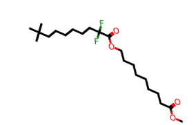 COC(=O)CCCCCCCCOC(=O)C(F)(F)CCCCCCC(C)(C)C